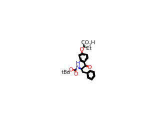 CC[C@H](Oc1ccc(C(=O)C(Cc2ccccc2)NC(=O)OC(C)(C)C)cc1)C(=O)O